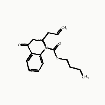 C=CCC1CC(=O)c2ccccc2N1C(=O)OCCCC